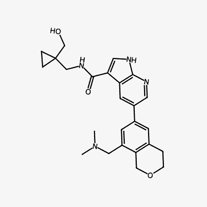 CN(C)Cc1cc(-c2cnc3[nH]cc(C(=O)NCC4(CO)CC4)c3c2)cc2c1COCC2